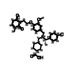 COc1cc(CN(C[C@H]2CC[C@H](C(=O)O)CC2)[C@@H](C)c2ccc(Cl)cc2)ccc1OCCn1c(=O)ccn(C)c1=O